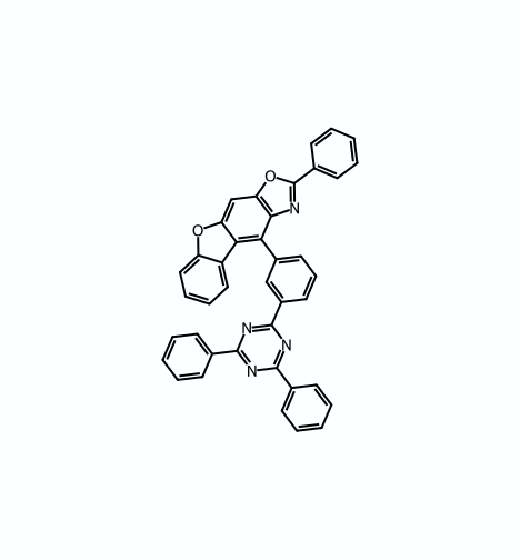 c1ccc(-c2nc(-c3ccccc3)nc(-c3cccc(-c4c5nc(-c6ccccc6)oc5cc5oc6ccccc6c45)c3)n2)cc1